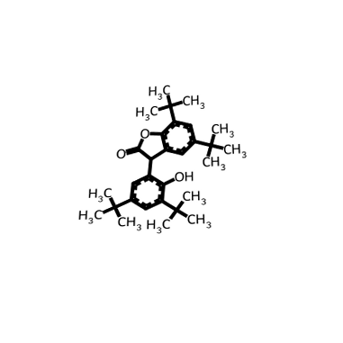 CC(C)(C)c1cc(C2C(=O)Oc3c2cc(C(C)(C)C)cc3C(C)(C)C)c(O)c(C(C)(C)C)c1